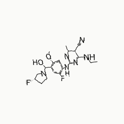 CCNC1=NC(Nc2cc(OC)c(C(O)N3CC[C@H](F)C3)cc2F)=NC(C)C1C#N